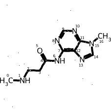 CNCCC(=O)Nc1ncnc2c1ncn2C